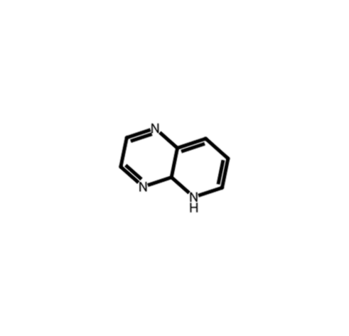 C1=CNC2N=CC=NC2=C1